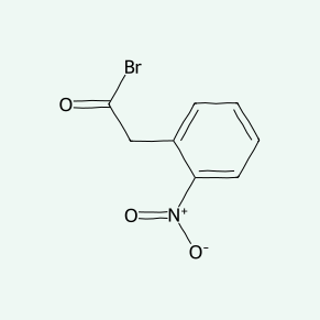 O=C(Br)Cc1ccccc1[N+](=O)[O-]